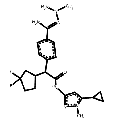 CN(N)/N=C(\N)c1ccc(C(C(=O)Nc2cc(C3CC3)n(C)n2)C2CCC(F)(F)C2)cc1